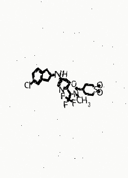 CN(C(=O)C1CCS(=O)(=O)CC1)[C@@H](c1ccc(NC2Cc3ccc(Cl)cc3C2)cn1)C(F)(F)F